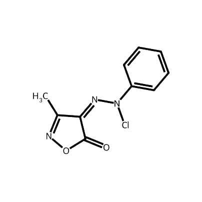 CC1=NOC(=O)C1=NN(Cl)c1ccccc1